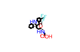 O=C(O)CNC[C@H]1CC[C@@H]2[C@H](O1)c1cc(C(F)(F)F)ccc1N[C@H]2C1C=CC=CC1